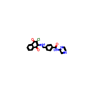 O=C(Nc1cnccn1)c1ccc(CNC2=C(Cl)C(=O)c3ccccc3C2=O)cc1